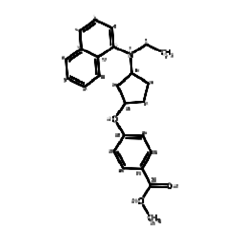 CCN(c1cccc2ccccc12)C1CCC(Oc2ccc(C(=O)OC)cc2)C1